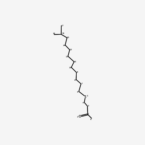 CC(=O)CCSCCCCCCCCCCC(C)C